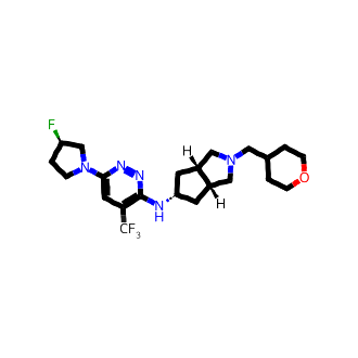 F[C@@H]1CCN(c2cc(C(F)(F)F)c(N[C@@H]3C[C@@H]4CN(CC5CCOCC5)C[C@@H]4C3)nn2)C1